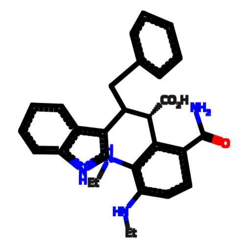 CCNc1ccc(C(N)=O)c([C@@H](C(=O)O)C(Cc2ccccc2)c2c[nH]c3ccccc23)c1NCC